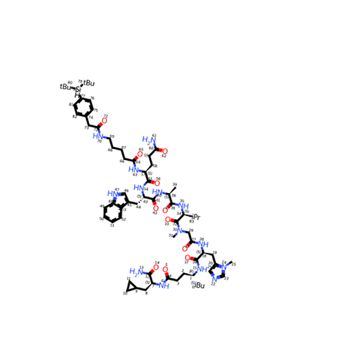 CC[C@H](C)[C@@H](CCC(=O)N[C@@H](CC1CC1)C(N)=O)NC(=O)[C@H](Cc1cncn1C)NC(=O)CN(C)C(=O)[C@@H](NC(=O)[C@H](C)NC(=O)[C@H](Cc1c[nH]c2ccccc12)NC(=O)[C@H](CCC(N)=O)NC(=O)CCCCNC(=O)Cc1ccc([SiH](C(C)(C)C)C(C)(C)C)cc1)C(C)C